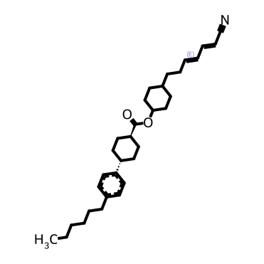 CCCCCCc1ccc([C@H]2CC[C@H](C(=O)OC3CCC(CC/C=C/C=CC#N)CC3)CC2)cc1